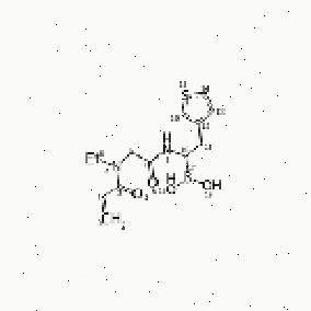 C=CC(=O)N(CC)CC(=O)NC(Cc1ccsc1)B(O)O